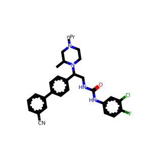 CCCN1CCN(C(CNC(=O)Nc2ccc(F)c(Cl)c2)c2ccc(-c3cccc(C#N)c3)cc2)C(C)C1